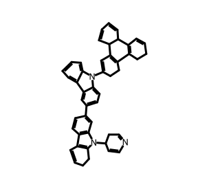 C1=CC2C3=C(CCC=C3)C3=C(C=C(n4c5ccccc5c5cc(-c6ccc7c8c(n(C9C=CN=CC9)c7c6)CCC=C8)ccc54)CC3)C2C=C1